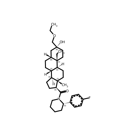 CCOC[C@@]1(O)CC[C@@]2(CC)[C@H](CC[C@H]3[C@@H]4CC[C@H](C(=O)N5CCCC[C@H]5c5ccc(F)cc5)[C@@]4(C)CC[C@@H]32)C1